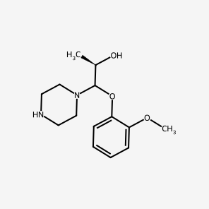 COc1ccccc1OC([C@@H](C)O)N1CCNCC1